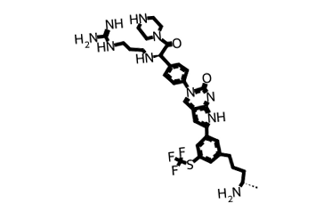 C[C@H](N)CCCc1cc(SC(F)(F)F)cc(-c2cc3cn(-c4ccc([C@@H](NCCCNC(=N)N)C(=O)N5CCNCC5)cc4)c(=O)nc3[nH]2)c1